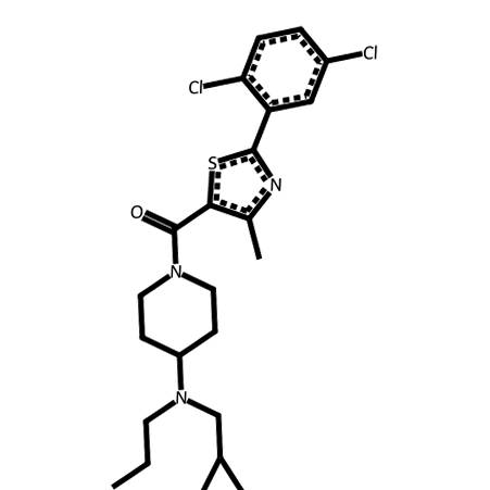 CCCN(CC1CC1)C1CCN(C(=O)c2sc(-c3cc(Cl)ccc3Cl)nc2C)CC1